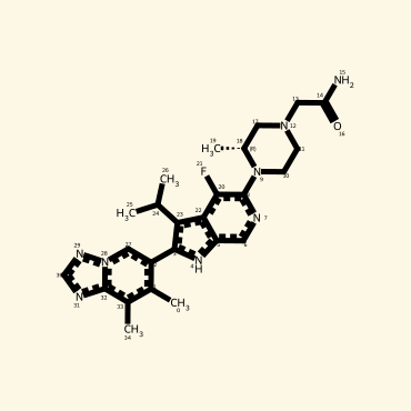 Cc1c(-c2[nH]c3cnc(N4CCN(CC(N)=O)C[C@H]4C)c(F)c3c2C(C)C)cn2ncnc2c1C